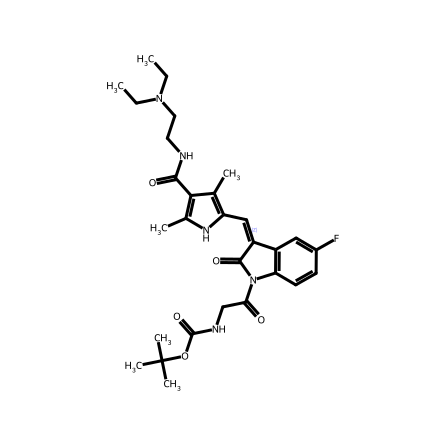 CCN(CC)CCNC(=O)c1c(C)[nH]c(/C=C2\C(=O)N(C(=O)CNC(=O)OC(C)(C)C)c3ccc(F)cc32)c1C